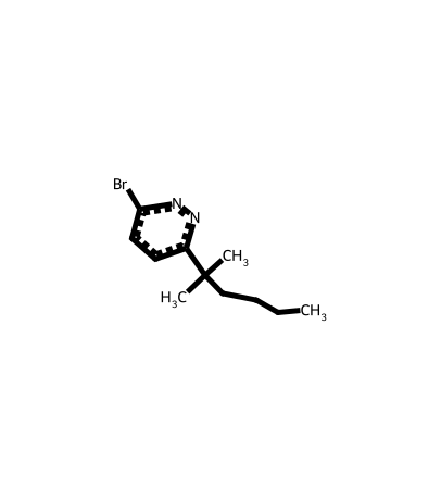 CCCCC(C)(C)c1ccc(Br)nn1